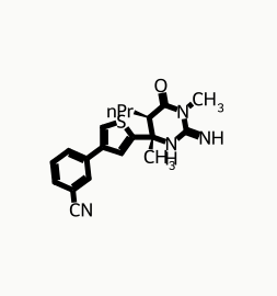 CCC[C@H]1C(=O)N(C)C(=N)N[C@]1(C)c1cc(-c2cccc(C#N)c2)cs1